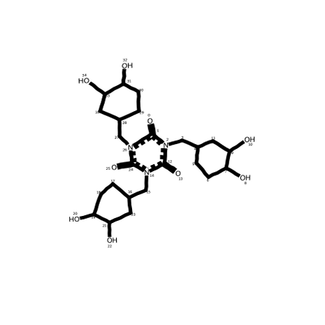 O=c1n(CC2CCC(O)C(O)C2)c(=O)n(CC2CCC(O)C(O)C2)c(=O)n1CC1CCC(O)C(O)C1